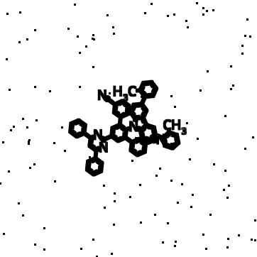 Cc1ccccc1-c1ccc2c(c1)c1cc(-c3ccccc3C)ccc1n2-c1c(-c2cccc(C#N)c2)cc(-c2nc(-c3ccccc3)cc(-c3ccccc3)n2)cc1-c1cccc(C#N)c1